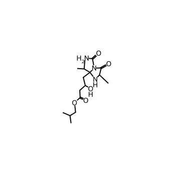 CC(C)COC(=O)CC(O)CC1(C(C)C)NC(C)C(=O)N1C(N)=O